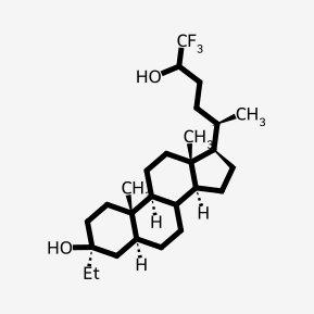 CC[C@]1(O)CC[C@@]2(C)[C@@H](CCC3[C@@H]2CC[C@]2(C)[C@@H]([C@H](C)CCC(O)C(F)(F)F)CC[C@@H]32)C1